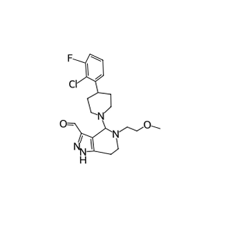 COCCN1CCc2[nH]nc(C=O)c2C1N1CCC(c2cccc(F)c2Cl)CC1